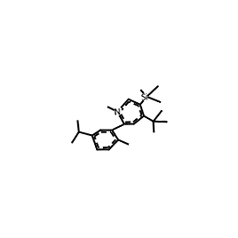 Cc1ccc(C(C)C)cc1-c1cc(C(C)(C)C)c([Si](C)(C)C)c[n+]1C